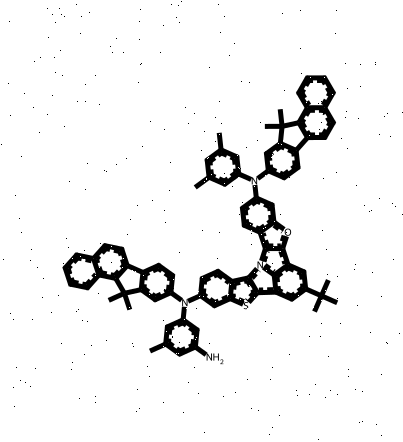 Cc1cc(C)cc(N(c2ccc3c(c2)C(C)(C)c2c-3ccc3ccccc23)c2ccc3c(c2)oc2c4cc(C(C)(C)C)cc5c6sc7cc(N(c8cc(C)cc(N)c8)c8ccc9c(c8)C(C)(C)c8c-9ccc9ccccc89)ccc7c6n(c45)c32)c1